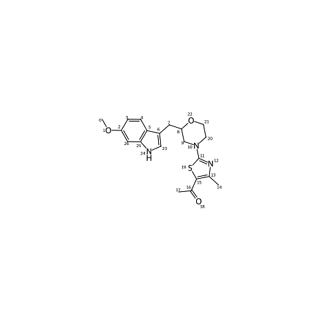 COc1ccc2c(CC3CN(c4nc(C)c(C(C)=O)s4)CCO3)c[nH]c2c1